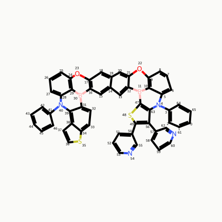 c1ccc(N2c3cccc4c3B(c3cc5cc6c(cc5cc3O4)Oc3cccc4c3B6c3ccc5sccc5c3N4c3ccccc3)c3sc(-c4cccnc4)c(-c4cccnc4)c32)cc1